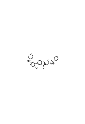 CC(C)(NC(=O)CN1Cc2ccc(-c3nc(NC4CCOCC4)ncc3Cl)cc2C1=O)c1ccccc1